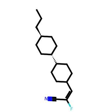 CCC[C@H]1CC[C@H](C2CCC(/C=C(/F)C#N)CC2)CC1